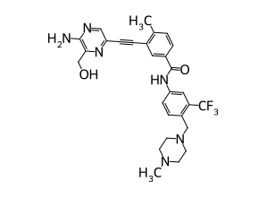 Cc1ccc(C(=O)Nc2ccc(CN3CCN(C)CC3)c(C(F)(F)F)c2)cc1C#Cc1cnc(N)c(CO)n1